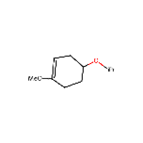 COC1=CCC(OC(C)C)CC1